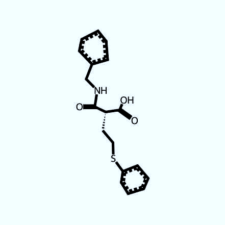 O=C(O)[C@H](CCSc1ccccc1)C(=O)NCc1ccccc1